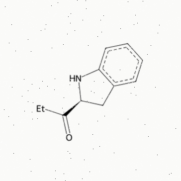 CCC(=O)[C@@H]1Cc2ccccc2N1